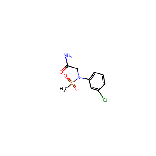 CS(=O)(=O)N(CC(N)=O)c1cccc(Cl)c1